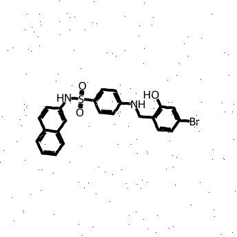 O=S(=O)(Nc1ccc2ccccc2c1)c1ccc(NCc2ccc(Br)cc2O)cc1